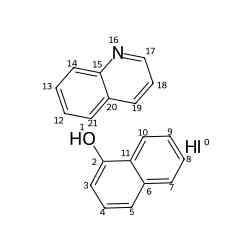 I.Oc1cccc2ccccc12.c1ccc2ncccc2c1